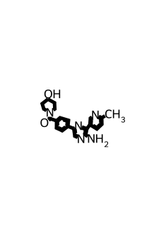 Cc1ccc(-c2nc(-c3ccc(C(=O)N4CCC(O)CC4)cc3)cnc2N)cn1